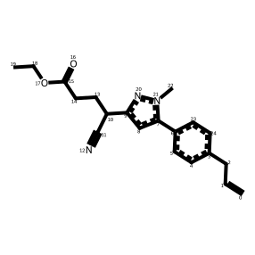 C=CCc1ccc(-c2cc(C(C#N)CCC(=O)OCC)nn2C)cc1